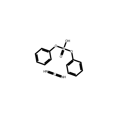 N=C=N.O=P(O)(Oc1ccccc1)Oc1ccccc1